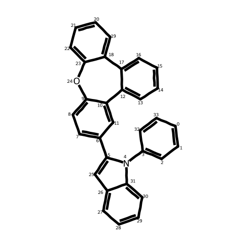 c1ccc(-n2c(-c3ccc4c(c3)-c3ccccc3-c3ccccc3O4)cc3ccccc32)cc1